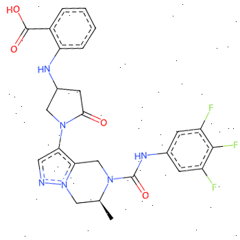 C[C@H]1Cn2ncc(N3CC(Nc4ccccc4C(=O)O)CC3=O)c2CN1C(=O)Nc1cc(F)c(F)c(F)c1